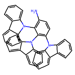 Nc1ccc(-n2c3ccccc3c3ccccc32)c(-n2c3ccccc3c3ccccc32)c1-n1c2ccccc2c2ccccc21